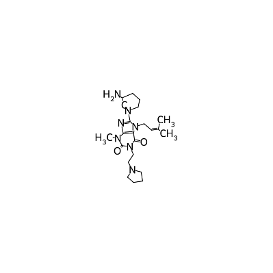 CC(C)=CCn1c(N2CCCC(N)C2)nc2c1c(=O)n(CCN1CCCC1)c(=O)n2C